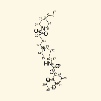 CCCC1CCN(S(=O)(=O)CCCN2CCC(CNC(=O)Oc3cccc4c3OCCO4)CC2)CC1